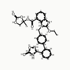 CCOc1nc2cccc(C(=O)OC3(C)COC(=O)O3)c2n1Cc1ccc(-c2ccccc2-c2noc(=O)[nH]2)cc1